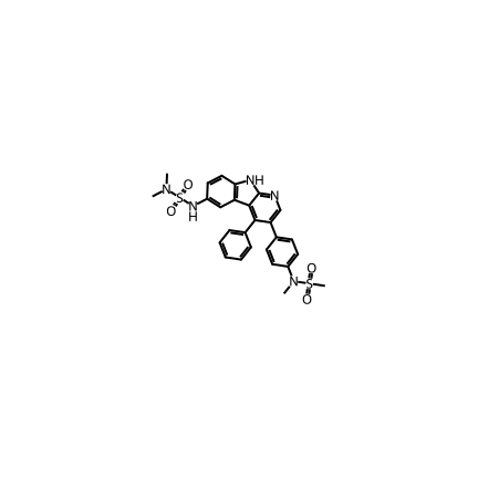 CN(c1ccc(-c2cnc3[nH]c4ccc(NS(=O)(=O)N(C)C)cc4c3c2-c2ccccc2)cc1)S(C)(=O)=O